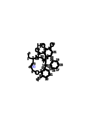 CCC1/C=C/COc2c(F)cccc2[C@@H](c2ccccc2)N2CN1C(=O)c1c(O)c(=O)ccn12